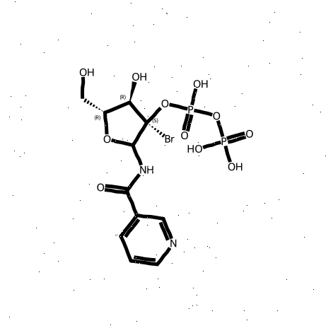 O=C(NC1O[C@H](CO)[C@@H](O)[C@@]1(Br)OP(=O)(O)OP(=O)(O)O)c1cccnc1